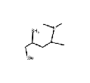 BC(CC(C)N(C)C)CC(C)(C)C